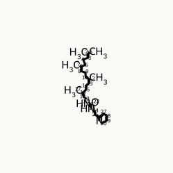 CC(C)=CCCC(C)=CCCC(C)=CCCC(C)=CCNC(=O)NCCc1ccccn1